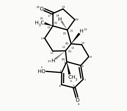 C[C@]12C(O)=CC(=O)C=C1CC[C@@H]1[C@@H]2CC[C@]2(C)C(=O)CC[C@@H]12